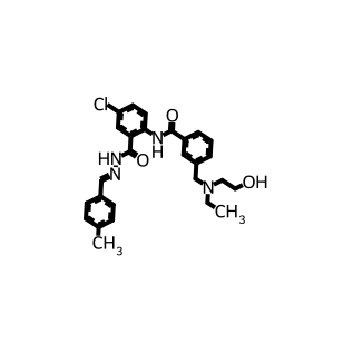 CCN(CCO)Cc1cccc(C(=O)Nc2ccc(Cl)cc2C(=O)NN=Cc2ccc(C)cc2)c1